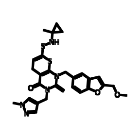 C=C1N(Cc2cnn(C)c2)C(=O)C2=C(SC(SNC3(C)CC3)=CC2)N1Cc1ccc2oc(COC)cc2c1